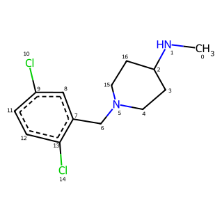 CNC1CCN(Cc2cc(Cl)ccc2Cl)CC1